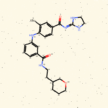 CC(C)(C)c1cc(C(=O)N=C2NCCN2)ccc1Nc1cccc(C(=O)NCCC2CCCOC2)c1